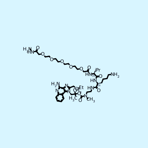 CCOCc1nc2c(N)nc3ccccc3c2n1CC(C)(C)OC(=O)N(C)CCNC(=O)[C@H](CCCCN)NC(=O)[C@@H](NC(=O)COCCOCCOCCOCCOCC(=O)NN)C(C)C